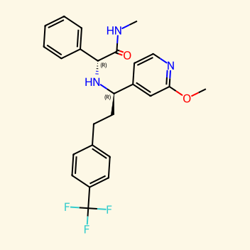 CNC(=O)[C@H](N[C@H](CCc1ccc(C(F)(F)F)cc1)c1ccnc(OC)c1)c1ccccc1